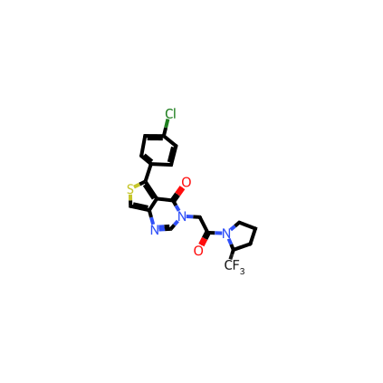 O=C(Cn1cnc2csc(-c3ccc(Cl)cc3)c2c1=O)N1CCCC1C(F)(F)F